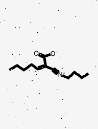 CCCCC=C(C#[N+]CCCC)C(=O)[O-]